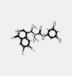 CC(c1c[nH]c(=O)c2cc(F)c(F)cc12)N(C)C(=O)Nc1cc(Cl)cc(Cl)c1